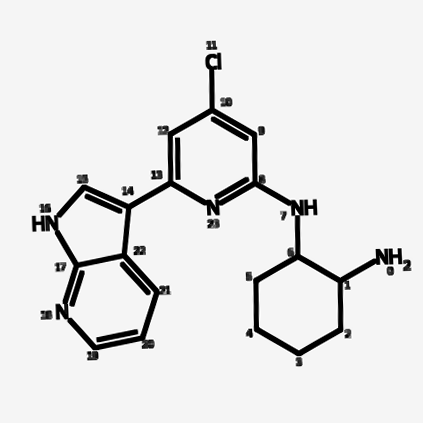 NC1CCCCC1Nc1cc(Cl)cc(-c2c[nH]c3ncccc23)n1